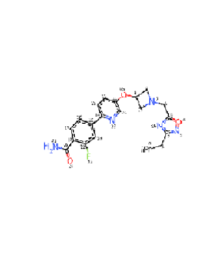 CC(C)Cc1noc(CN2CC(Oc3ccc(-c4ccc(C(N)=O)c(F)c4)nc3)C2)n1